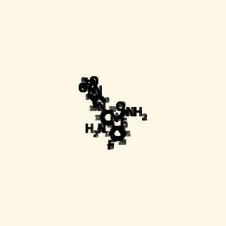 CS(=O)(=O)n1cc2c(n1)CN(C1CC(N)[C@@H](C3CC(F)=CC=C3F)N(CC(N)=O)C1)C2